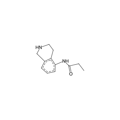 CCC(=O)Nc1cccc2c1CCNC2